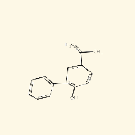 C=C(C)c1ccc(O)c(-c2ccccc2)c1